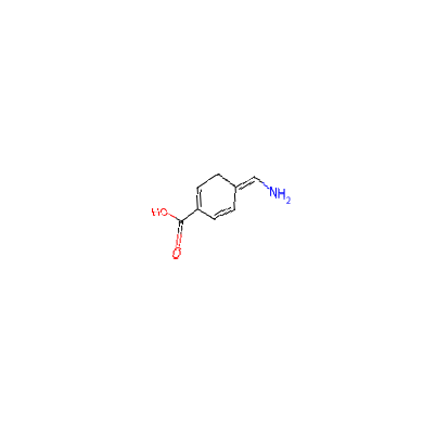 NC=C1C=CC(C(=O)O)=CC1